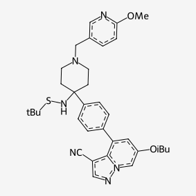 COc1ccc(CN2CCC(NSC(C)(C)C)(c3ccc(-c4cc(OCC(C)C)cn5ncc(C#N)c45)cc3)CC2)cn1